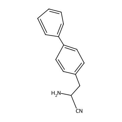 N#CC(N)Cc1ccc(-c2ccccc2)cc1